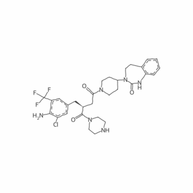 Nc1c(Cl)cc(C[C@@H](CC(=O)N2CCC(N3CCc4ccccc4NC3=O)CC2)C(=O)N2CCNCC2)cc1C(F)(F)F